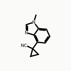 Cn1cnc2c(C3(C#N)CC3)cccc21